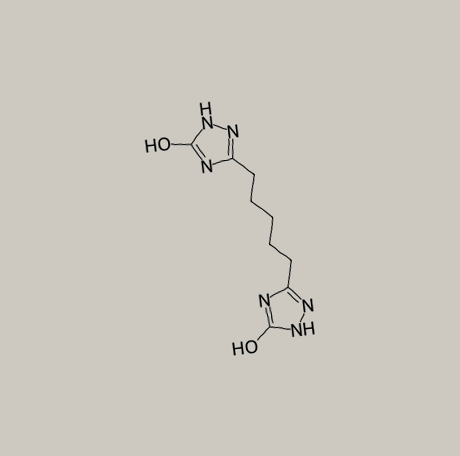 Oc1nc(CCCCCc2n[nH]c(O)n2)n[nH]1